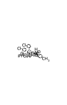 Cc1ccc(S(=O)(=O)NC(=O)C[C@@]2(C)C[C@H](c3cccc(Cl)c3)[C@@H](c3ccc(Cl)cc3)N([C@H](CS(=O)(=O)C(C)C)C(C)C)C2=O)cc1